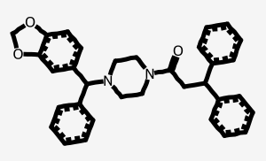 O=C(CC(c1ccccc1)c1ccccc1)N1CCN(C(c2ccccc2)c2ccc3c(c2)OCO3)CC1